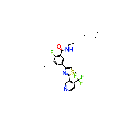 CCNC(=O)c1cc(-c2csc(-c3cnccc3C(F)(F)F)n2)ccc1F